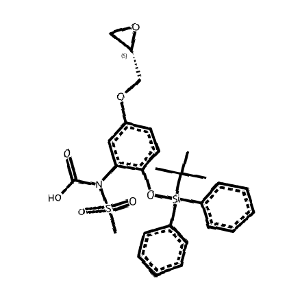 CC(C)(C)[Si](Oc1ccc(OC[C@@H]2CO2)cc1N(C(=O)O)S(C)(=O)=O)(c1ccccc1)c1ccccc1